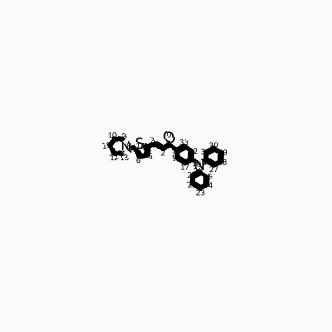 O=C(C=Cc1ccc(N2CCCCC2)s1)c1ccc(N(c2ccccc2)c2ccccc2)cc1